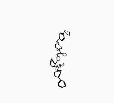 O=C(COc1ccccc1Nc1ccc(-c2ccccc2)cc1)N1CCN(Cc2ccc(Cl)cc2)CC1